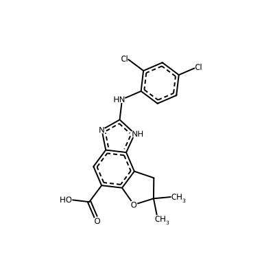 CC1(C)Cc2c(c(C(=O)O)cc3nc(Nc4ccc(Cl)cc4Cl)[nH]c23)O1